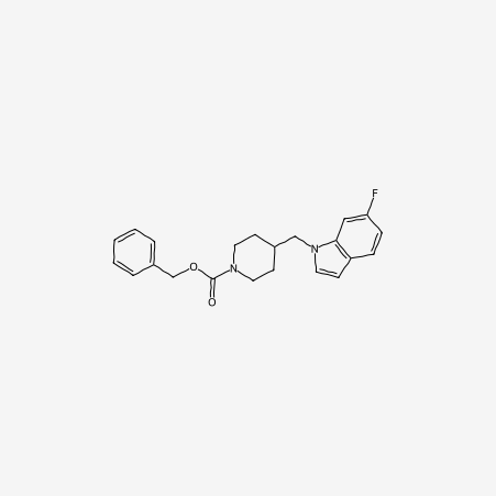 O=C(OCc1ccccc1)N1CCC(Cn2ccc3ccc(F)cc32)CC1